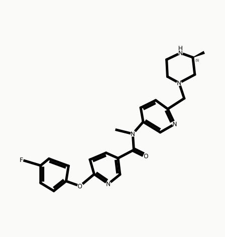 C[C@H]1CN(Cc2ccc(N(C)C(=O)c3ccc(Oc4ccc(F)cc4)nc3)cn2)CCN1